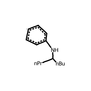 CCCCC(CCC)Nc1cc[c]cc1